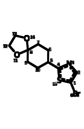 Brc1cnc(C2CCC3(CC2)OCCO3)s1